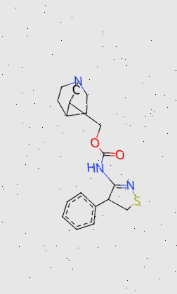 O=C(NC1=NSCC1c1ccccc1)OCC1CN2CCC1CC2